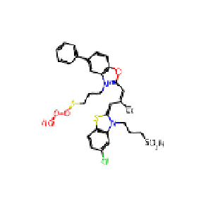 CCC(=Cc1oc2ccc(-c3ccccc3)cc2[n+]1CCCSOOO)C=C1Sc2ccc(Cl)cc2N1CCCS(=O)(=O)O